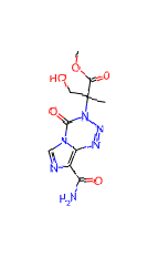 COC(=O)C(C)(CO)n1nnc2c(C(N)=O)ncn2c1=O